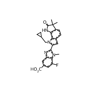 Cn1c(-c2cc3ccc4c(c3n2CC2CC2)NC(=O)C4(C)C)nc2cc(C(=O)O)cc(F)c21